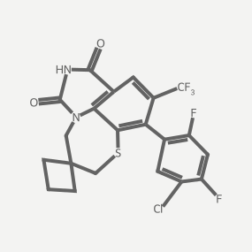 O=c1[nH]c(=O)n2c3c(c(-c4cc(Cl)c(F)cc4F)c(C(F)(F)F)cc13)SCC1(CCC1)C2